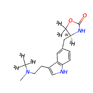 [2H]C([2H])([2H])N(C)CCc1c[nH]c2ccc(C[C@]3([2H])NC(=O)OC3([2H])[2H])cc12